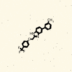 Cc1cccc(-c2ccc3[nH]c(COc4ccc(C(F)(F)F)cc4)nc3c2)c1